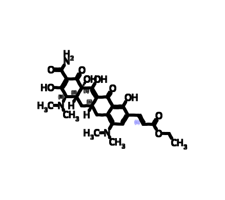 CCOC(=O)/C=C/c1cc(N(C)C)c2c(c1O)C(=O)C1=C(O)[C@]3(O)C(=O)C(C(N)=O)=C(O)[C@H](N(C)C)[C@H]3C[C@H]1C2